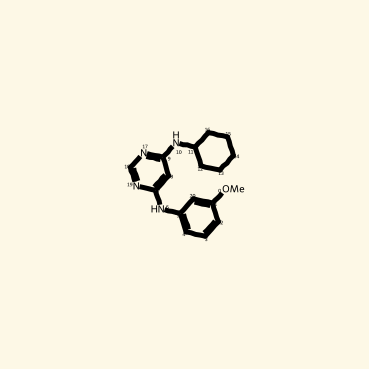 COc1cccc(Nc2cc(NC3CCCCC3)ncn2)c1